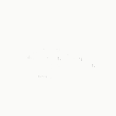 CCCCOc1ccc(C(=O)N(c2ccc(N3CCC(N(C)C)C3)c(F)c2)c2ccc(OCCCC)cc2C)c(C)c1